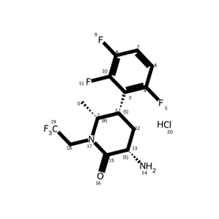 C[C@@H]1[C@H](c2c(F)ccc(F)c2F)C[C@H](N)C(=O)N1CC(F)(F)F.Cl